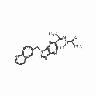 CCN(/N=C(/C)c1cnc2nnn(Cc3ccc4ncccc4c3)c2n1)C(N)=O